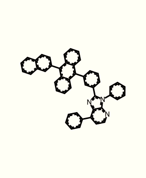 c1ccc(-c2ccnc3c2nc(-c2cccc(-c4c5ccccc5c(-c5ccc6ccccc6c5)c5ccccc45)c2)n3-c2ccccc2)cc1